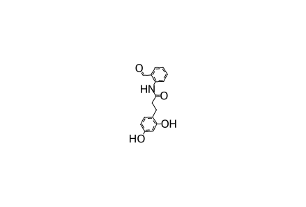 O=Cc1ccccc1NC(=O)CCc1ccc(O)cc1O